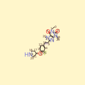 CCn1c(=O)c2c(nc(/C=C/c3ccc(OC4CCNCC4)c(F)c3)n2C)n(CC)c1=O